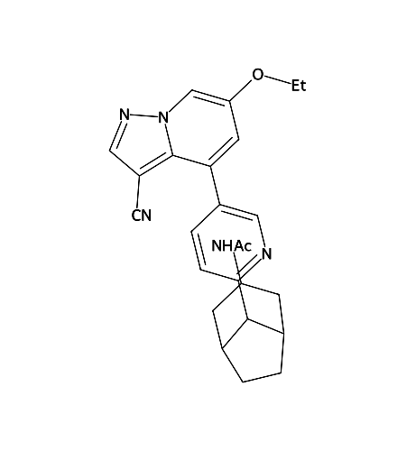 CCOc1cc(-c2ccc(C3C4CCC3CC(NC(C)=O)C4)nc2)c2c(C#N)cnn2c1